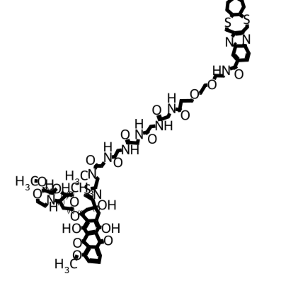 COc1cccc2c1C(=O)c1c(O)c3c(c(O)c1C2=O)C[C@@](O)(c1csc(CN(C)C(=O)CNC(=O)CNC(=O)CNC(=O)CNC(=O)CNC(=O)CCOCCOCCNC(=O)c2ccc4nc5c(nc4c2)CSC2CCCCCC2SC5)n1)C[C@@H]3O[C@H]1C[C@H]2[C@H](O[C@@H]3[C@@H](OC)OCCN32)[C@H](C)O1